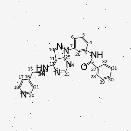 O=C(Nc1cccc(-n2ncc3c(N/N=C/c4ccncc4)ncnc32)c1)c1ccccc1